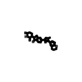 Cn1cc(-c2ccc3c(c2)CN(C2CCC(=O)NC2=O)C3=O)nc1-c1ccc2c(c1)CCCO2